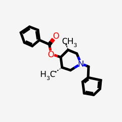 C[C@@H]1CN(Cc2ccccc2)C[C@H](C)C1OC(=O)c1ccccc1